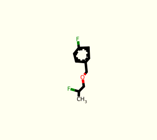 CC(F)COCc1ccc(F)cc1